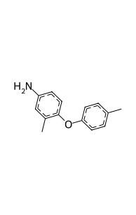 Cc1ccc(Oc2ccc(N)cc2C)cc1